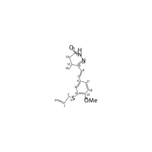 C=CCSc1cc(C=CC2=NNC(=O)CC2C)ccc1OC